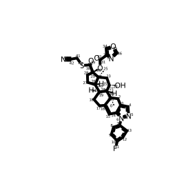 C[C@]12Cc3cnn(-c4ccc(F)cc4)c3C=C1CC[C@@H]1[C@@H]2[C@@H](O)C[C@@]2(C)[C@H]1CC[C@]2(OC(=O)c1cocn1)C(=O)SCC#N